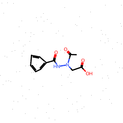 CC(=O)N(CC(=O)O)NC(=O)c1ccccc1